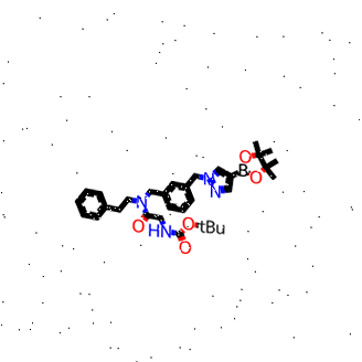 CC(C)(C)OC(=O)NCC(=O)N(CCc1ccccc1)Cc1cccc(Cn2cc(B3OC(C)(C)C(C)(C)O3)cn2)c1